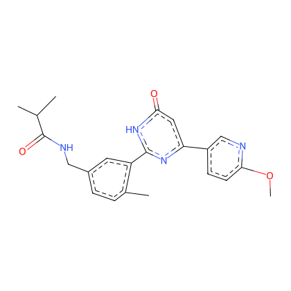 COc1ccc(-c2cc(=O)[nH]c(-c3cc(CNC(=O)C(C)C)ccc3C)n2)cn1